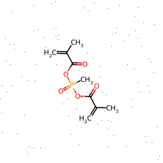 C=C(C)C(=O)OP(C)(=O)OC(=O)C(=C)C